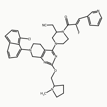 CN1CCCC1COc1nc2c(c(N3CCN(C(=O)/C(F)=C/c4cccnc4)C(CC#N)C3)n1)CCN(c1cccc3cccc(Cl)c13)C2